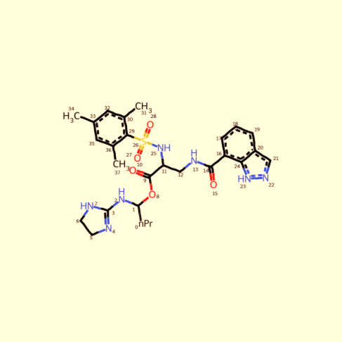 CCCC(NC1=NCCN1)OC(=O)C(CNC(=O)c1cccc2cn[nH]c12)NS(=O)(=O)c1c(C)cc(C)cc1C